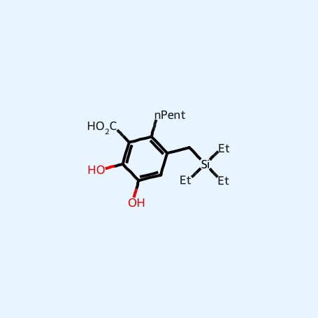 CCCCCc1c(C[Si](CC)(CC)CC)cc(O)c(O)c1C(=O)O